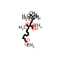 CCC(/C=C/C(C(CO)OC)C(C/C=C\C/C=C\C/C=C\CCC(=O)OC)C(C)=O)O[Si](C)(C)C(C)(C)C